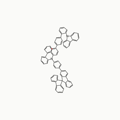 c1ccc(-c2ccccc2N(c2ccc(-c3ccc(-c4ccccc4-n4c5ccccc5c5ccccc54)cc3)cc2)c2ccc(-c3ccc4c(c3)C3(c5ccccc5-c5ccccc53)c3ccccc3-4)cc2)cc1